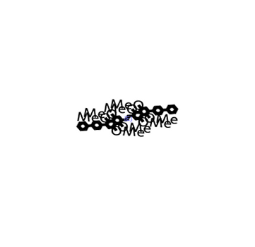 COc1cc(-c2ccc(-c3ccccc3)cc2)c(OC)c2c(OC)cc(/C=C/c3cc(OC)c4c(OC)c(-c5ccc(-c6ccccc6)cc5)cc(OC)c4c3OC)c(OC)c12